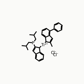 CC1=Cc2c(-c3ccccc3)cccc2[CH]1[Ti+2][CH]1C(P(CC(C)C)CC(C)C)=Cc2ccccc21.[Cl-].[Cl-]